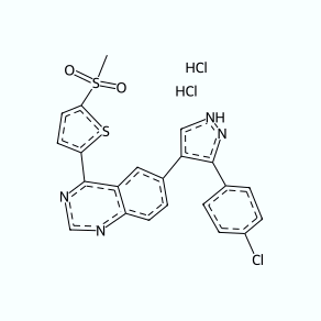 CS(=O)(=O)c1ccc(-c2ncnc3ccc(-c4c[nH]nc4-c4ccc(Cl)cc4)cc23)s1.Cl.Cl